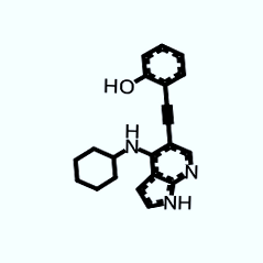 Oc1ccccc1C#Cc1cnc2[nH]ccc2c1NC1CCCCC1